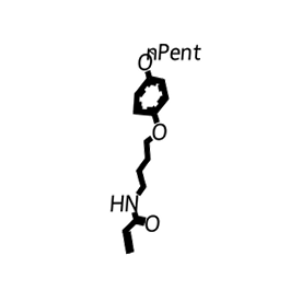 C=CC(=O)NCCCCOc1ccc(OCCCCC)cc1